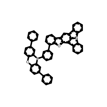 c1ccc(-c2ccc3c(c2)B(c2cccc(-c4cccc5c4oc4c5cc5c6ccccc6n6c7ccccc7c4c56)c2)c2cc(-c4ccccc4)ccc2O3)cc1